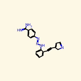 N=C(N)c1ccc(/N=N/Nc2ccccc2C#CC2=CC=NC2)cc1